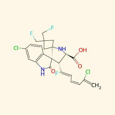 C=C(Cl)/C=C\C=C(/F)[C@H]1[C@H](C(=O)O)NC2(CC(CF)(CF)C2)[C@@]12C(=O)Nc1cc(Cl)ccc12